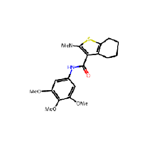 CNc1sc2c(c1C(=O)Nc1cc(OC)c(OC)c(OC)c1)CCCC2